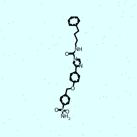 NS(=O)(=O)c1ccc(COc2ccc(-c3cn(C(=O)NCCCCc4ccccc4)cn3)cc2)cc1